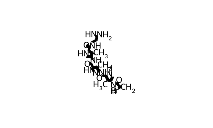 C=C(Br)C(=O)Nc1c[nH]c(C(=O)Nc2n[nH]c(C(=O)Nc3c[nH]c(C(=O)NCCC(=N)N)c3C)c2C)c1C